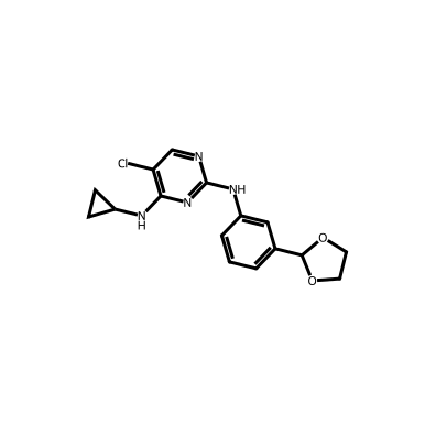 Clc1cnc(Nc2cccc(C3OCCO3)c2)nc1NC1CC1